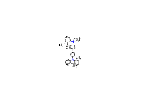 Cc1ccccc1N(c1ccc(C2=CC3C(C=C2)N(C(=O)O)c2ccccc2C3(C)C)cc1)c1ccccc1C